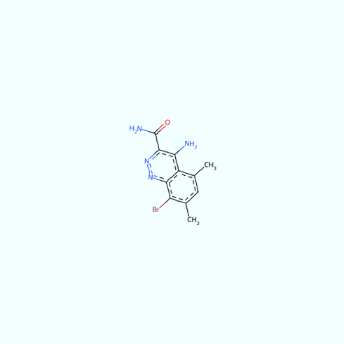 Cc1cc(C)c2c(N)c(C(N)=O)nnc2c1Br